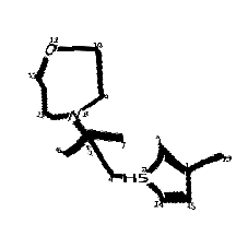 CC1=C[SH](CC(C)(C)N2CCOCC2)C=C1